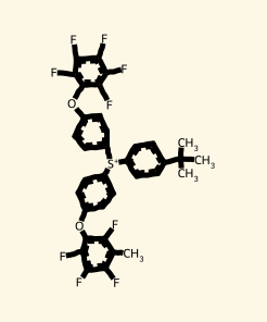 Cc1c(F)c(F)c(F)c(Oc2ccc([S+](c3ccc(Oc4c(F)c(F)c(F)c(F)c4F)cc3)c3ccc(C(C)(C)C)cc3)cc2)c1F